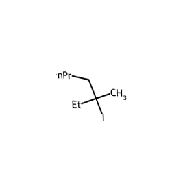 CC[CH]CC(C)(I)CC